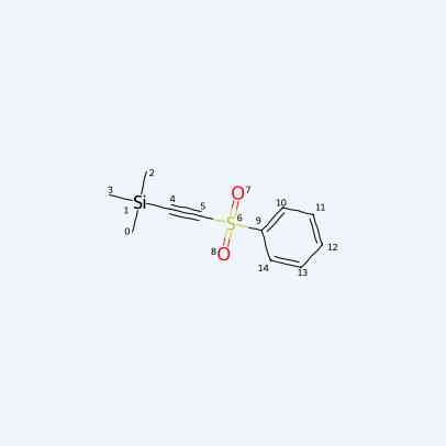 C[Si](C)(C)C#CS(=O)(=O)c1ccccc1